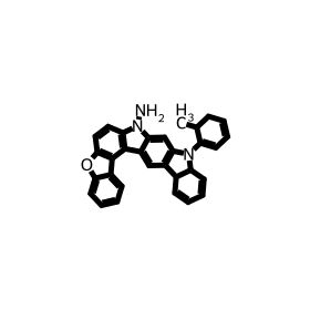 CC1CC=CC=C1N1c2cc3c(cc2C2C=CC=CC21)c1c2c(ccc1n3N)oc1ccccc12